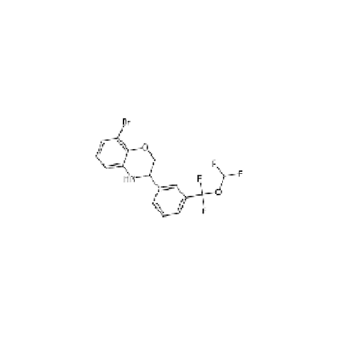 FC(F)OC(F)(F)c1cccc(C2COc3c(Br)cccc3N2)c1